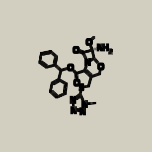 CO[C@]1(N)C(=O)N2C(C(=O)OC(c3ccccc3)c3ccccc3)=C(CSc3nnnn3C)COC21